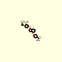 CN(C)C(=O)c1ccc(Oc2ccc(F)c3c2CC[C@H]3Oc2ccc([C@H]3C[C@@H]3C(=O)O)cc2)cc1